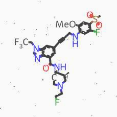 COc1cc(S(C)(=O)=O)c(F)cc1NCC#Cc1cc(C(=O)N[C@H]2CCN(CCF)C[C@@H]2C)c2ncn(CC(F)(F)F)c2c1